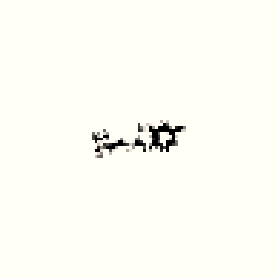 Cc1cnc(OCOCC[Si](C)(C)C)c(Br)c1